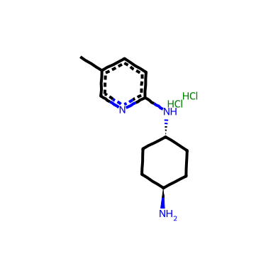 Cc1ccc(N[C@H]2CC[C@H](N)CC2)nc1.Cl.Cl